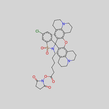 O=C(CCCCCN1C2(c3ccc(Cl)cc3S1(=O)=O)c1cc3c4c(c1Oc1c2cc2c5c1CCCN5CCC2)CCCN4CCC3)ON1C(=O)CCC1=O